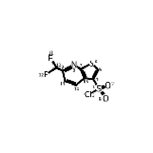 O=S(=O)(Cl)c1csc2nc(C(F)F)ccc12